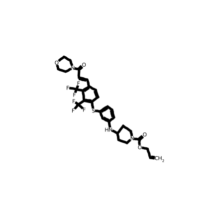 C=CCOC(=O)N1CCC(Nc2cccc(Sc3ccc(/C=C/C(=O)N4CCOCC4)c(C(F)(F)F)c3C(F)(F)F)c2)CC1